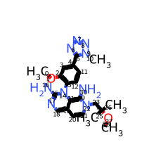 COc1cc(-c2nnnn2C)ccc1N1C(N)=NC=C2C=CN(CC(C)(C)OC)C(N)=C21